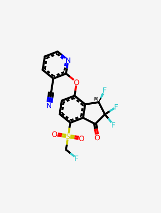 N#Cc1cccnc1Oc1ccc(S(=O)(=O)CF)c2c1[C@@H](F)C(F)(F)C2=O